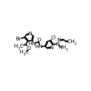 C=C/C=N\N(N)c1ncc(NC(=O)Nc2cncc(Br)c2C(C)OC)cc1Cl